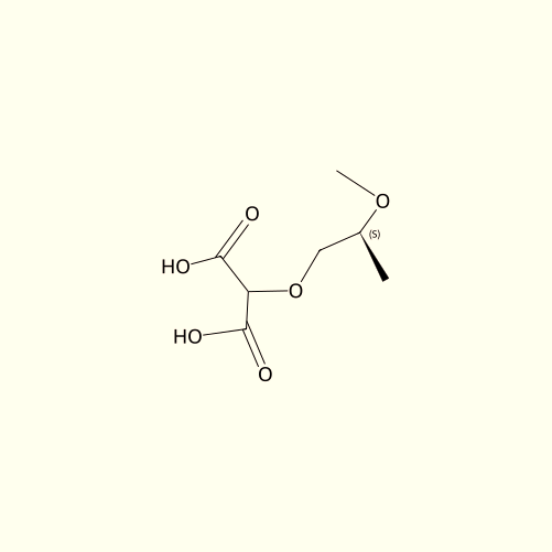 CO[C@@H](C)COC(C(=O)O)C(=O)O